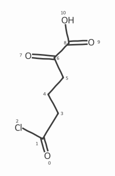 O=C(Cl)CCCC(=O)C(=O)O